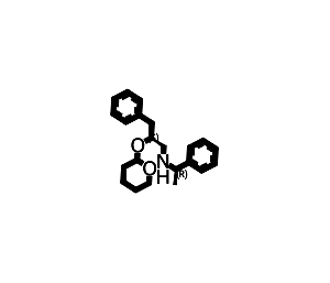 C[C@@H](NC[C@H](Cc1ccccc1)OC1CCCCO1)c1ccccc1